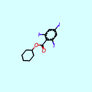 O=C(OC1CCCCC1)c1c(I)cc(I)cc1I